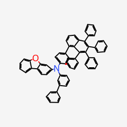 c1ccc(-c2cccc(N(c3ccc(-c4cccc5c(-c6ccccc6)c(-c6ccccc6)c(-c6ccccc6)c(-c6ccccc6)c45)cc3)c3ccc4c(c3)oc3ccccc34)c2)cc1